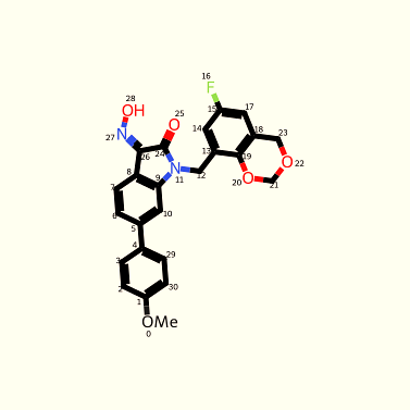 COc1ccc(-c2ccc3c(c2)N(Cc2cc(F)cc4c2OCOC4)C(=O)/C3=N\O)cc1